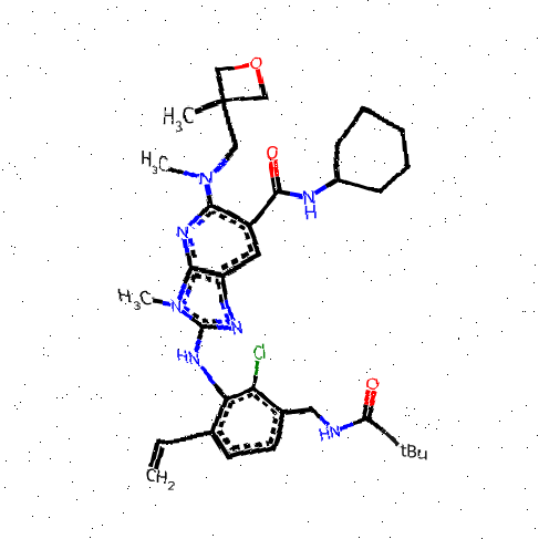 C=Cc1ccc(CNC(=O)C(C)(C)C)c(Cl)c1Nc1nc2cc(C(=O)NC3CCCCC3)c(N(C)CC3(C)COC3)nc2n1C